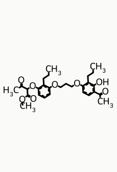 CCCc1c(OCCCOc2ccc(C(C)=O)c(O)c2CCC)cccc1OC(C(C)=O)C(=O)OC